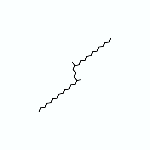 CCCCCCCCCCCCCC(C)CCCC(C)CCCCCCCCCCCC